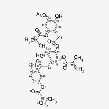 C=C(C)C(=O)Oc1ccc(O)c(C(=O)Cc2cc(OC(=O)C(=C)C)c(OC(=O)Cc3cc(O)c(OC(C)=O)cc3OC(=O)C(=C)C)cc2O)c1